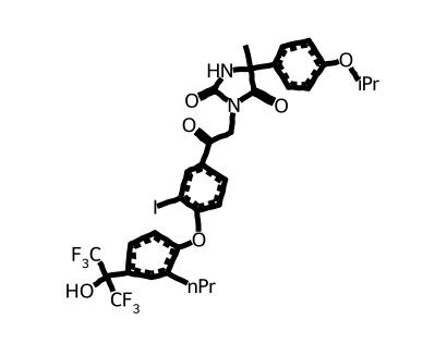 CCCc1cc(C(O)(C(F)(F)F)C(F)(F)F)ccc1Oc1ccc(C(=O)CN2C(=O)NC(C)(c3ccc(OC(C)C)cc3)C2=O)cc1I